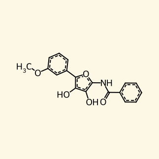 COc1cccc(-c2oc(NC(=O)c3ccccc3)c(O)c2O)c1